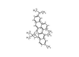 Cc1ccc2c(CC(C)(C)C)c3c(c(C)c2c1)-c1c2c(cc4ccc(C(C)C)cc4c2cc[n+]1C)O3